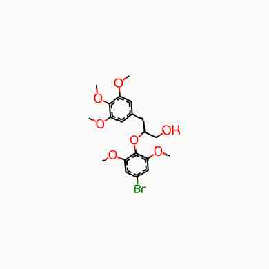 COc1cc(CC(CO)Oc2c(OC)cc(Br)cc2OC)cc(OC)c1OC